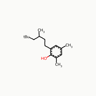 Cc1cc(C)c(O)c(CCC(C)CC(C)(C)C)c1